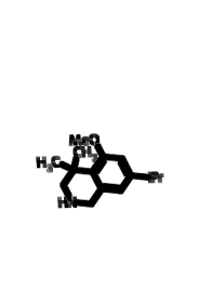 COc1cc(C(C)C)cc2c1C(C)(C)CNC2